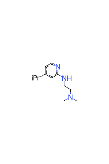 CC(C)c1ccnc(NCCN(C)C)c1